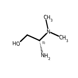 CN(C)[C@H](N)CO